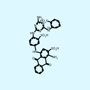 Nc1nc(Nc2ccccc2S(=O)(=O)O)nc(Nc2ccc(Nc3cc(S(=O)(=O)O)c(N)c4c3C(=O)c3ccccc3C4=O)cc2S(=O)(=O)O)n1